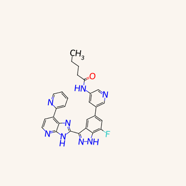 CCCCC(=O)Nc1cncc(-c2cc(F)c3[nH]nc(-c4nc5c(-c6ccccn6)ccnc5[nH]4)c3c2)c1